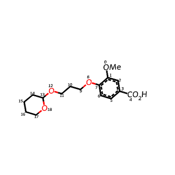 COc1cc(C(=O)O)ccc1OCCCOC1CCCCO1